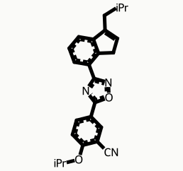 CC(C)CC1=CCc2c1cccc2-c1noc(-c2ccc(OC(C)C)c(C#N)c2)n1